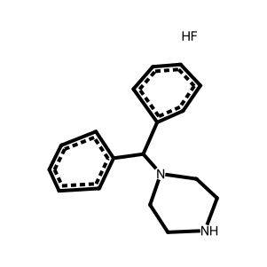 F.c1ccc(C(c2ccccc2)N2CCNCC2)cc1